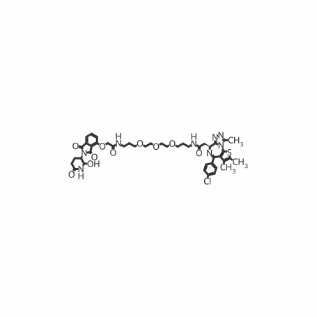 Cc1sc2c(c1C)C(c1ccc(Cl)cc1)=N[C@@H](CC(=O)NCCCOCCOCCOCCCNC(=O)COc1cccc3c1C(=O)N(C1CCC(=O)NC1O)C3=O)c1nnc(C)n1-2